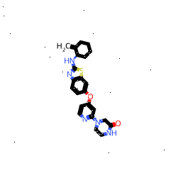 C=C1CCCC[C@H]1Nc1nc2ccc(Oc3ccnc(N4CCNC(=O)C4)c3)cc2s1